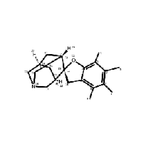 Cc1c(C)c(C)c2c(c1C)C[C@@]1(O2)[C@@H]2C[C@@H]3C[C@H]1CN(C3)C2